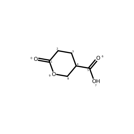 O=C1CCC(C(=O)O)CO1